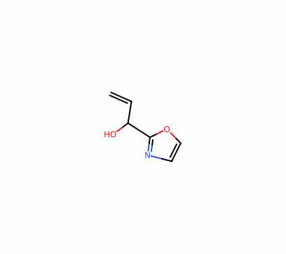 C=CC(O)c1ncco1